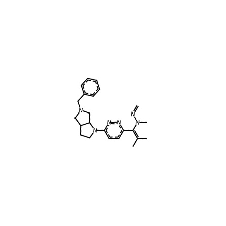 C=NN(C)C(=C(C)C)c1ccc(N2CCC3CN(Cc4ccccc4)CC32)nn1